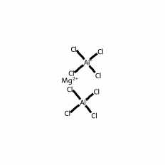 [Cl][Al-]([Cl])([Cl])[Cl].[Cl][Al-]([Cl])([Cl])[Cl].[Mg+2]